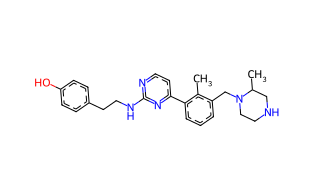 Cc1c(CN2CCNCC2C)cccc1-c1ccnc(NCCc2ccc(O)cc2)n1